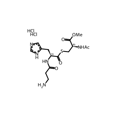 COC(=O)[C@H](CSC(=O)[C@H](Cc1cnc[nH]1)NC(=O)CCN)NC(C)=O.Cl.Cl